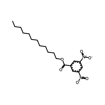 CCCCCCCCCCCCOC(=O)c1cc([N+](=O)[O-])cc([N+](=O)[O-])c1